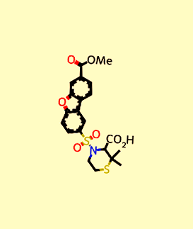 COC(=O)c1ccc2c(c1)oc1ccc(S(=O)(=O)N3CCSC(C)(C)C3C(=O)O)cc12